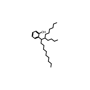 CCCCCCCCCC(c1ccccc1O)C(CCCC)CCCCCC